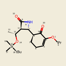 CC(C)OC1=CCC[C@@H]([C@H]2NC(=O)[C@@H]2[C@@H](C)O[Si](C)(C)C(C)(C)C)C1=O